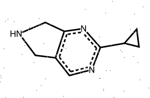 c1nc(C2CC2)nc2c1CNC2